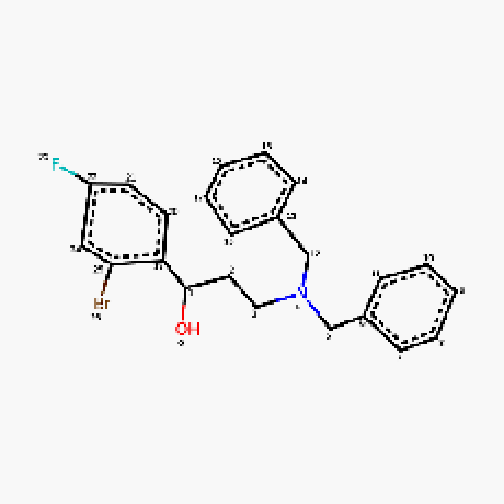 OC(CCN(Cc1ccccc1)Cc1ccccc1)c1ccc(F)cc1Br